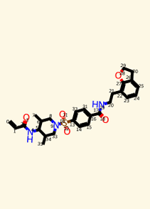 C=CC(=O)NC1C(C)CN(S(=O)(=O)c2ccc(C(=O)NCCc3cccc4c3OCC4)cc2)CC1C